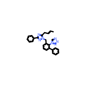 CC=CCc1nc(-c2ccccc2)nn1Cc1cccc(-c2ccccc2)c1-n1cnnn1